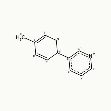 CC1=CCC(c2cccnc2)C=C1